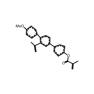 C=C(C)C(=O)Oc1ccc(-c2ccc(-c3ccc(OC)cc3)c(C(=C)C)c2)cc1